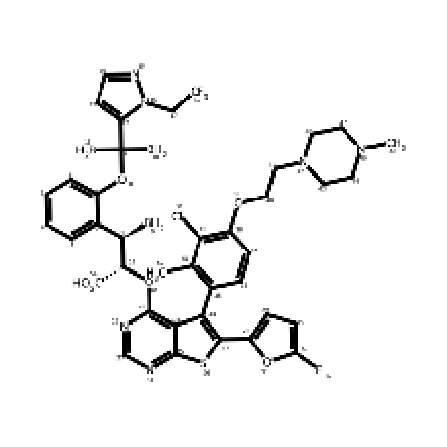 B[C@H](c1ccccc1OC(B)(B)c1ccnn1CC(F)(F)F)[C@H](Oc1ncnc2sc(-c3ccc(F)o3)c(-c3ccc(OCCN4CCN(C)CC4)c(Cl)c3C)c12)C(=O)O